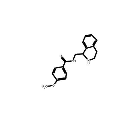 O=C(NCC1NCCc2ccccc21)c1ccc(OC(F)(F)F)cc1